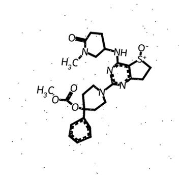 COC(=O)OC1(c2ccccc2)CCN(c2nc3c(c(NC4CCC(=O)N(C)C4)n2)[S+]([O-])CC3)CC1